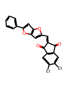 CCc1cc2c(cc1CC)C(=O)C(=Cc1cc3oc(-c4ccccc4)cc3o1)C2=O